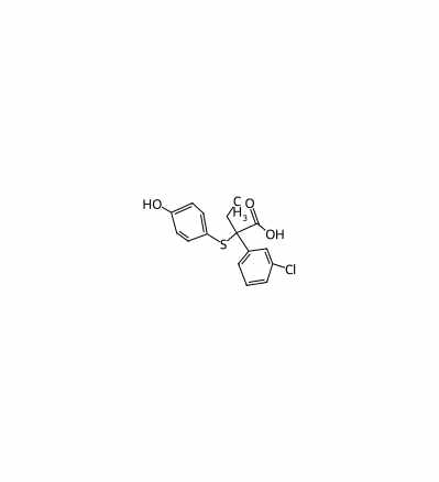 CCC(Sc1ccc(O)cc1)(C(=O)O)c1cccc(Cl)c1